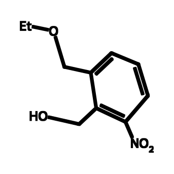 CCOCc1cccc([N+](=O)[O-])c1CO